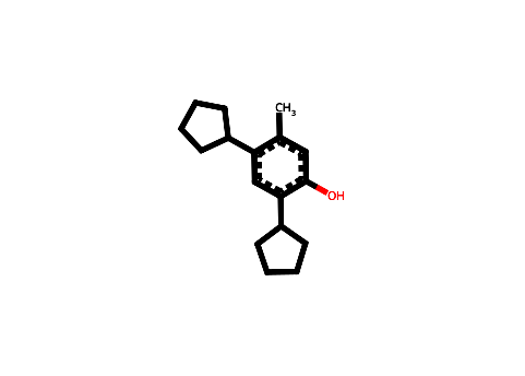 Cc1cc(O)c(C2CCCC2)cc1C1CCCC1